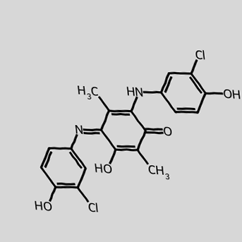 CC1=C(O)/C(=N\c2ccc(O)c(Cl)c2)C(C)=C(Nc2ccc(O)c(Cl)c2)C1=O